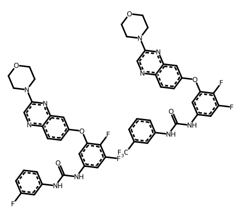 O=C(Nc1cccc(C(F)(F)F)c1)Nc1cc(F)c(F)c(Oc2ccc3ncc(N4CCOCC4)nc3c2)c1.O=C(Nc1cccc(F)c1)Nc1cc(F)c(F)c(Oc2ccc3ncc(N4CCOCC4)nc3c2)c1